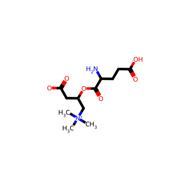 C[N+](C)(C)CC(CC(=O)[O-])OC(=O)C(N)CCC(=O)O